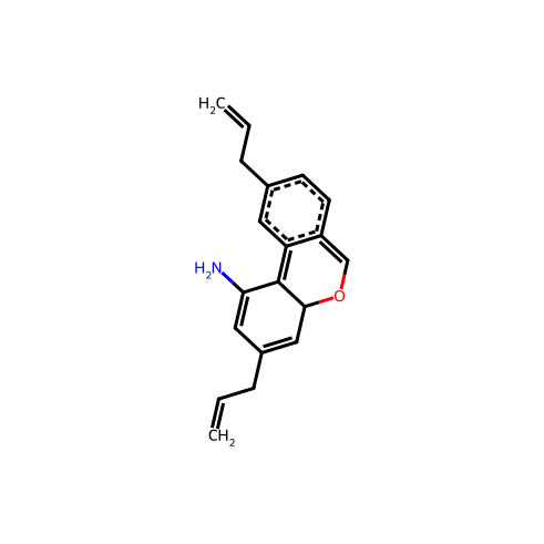 C=CCC1=CC2OC=c3ccc(CC=C)cc3=C2C(N)=C1